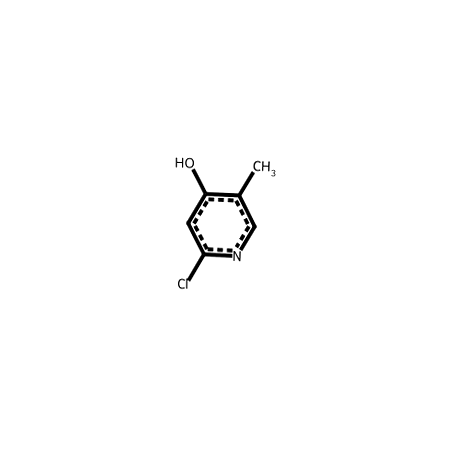 Cc1cnc(Cl)cc1O